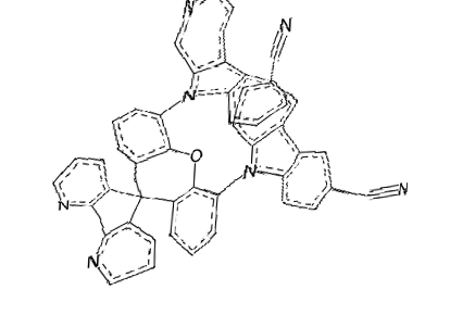 N#Cc1ccc2c(c1)c1cc(C#N)ccc1n2-c1cccc2c1Oc1c(-n3c4ccccc4c4ccncc43)cccc1C21c2cccnc2-c2ncccc21